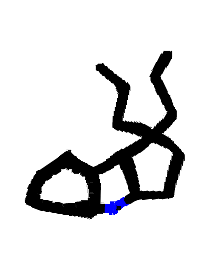 CCCC1(CCC)CCC2=C1c1ccccc1[N]2